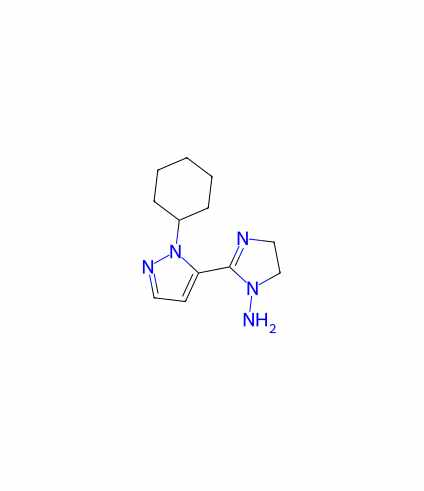 NN1CCN=C1c1ccnn1C1CCCCC1